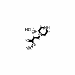 CCCCOC(=O)CCN1CCNCC1.Cl.Cl